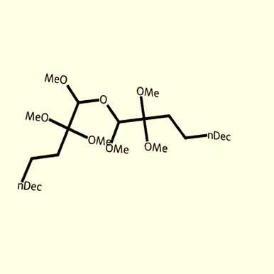 CCCCCCCCCCCCC(OC)(OC)C(OC)OC(OC)C(CCCCCCCCCCCC)(OC)OC